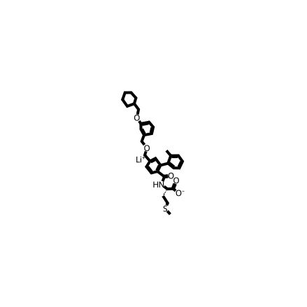 CSCC[C@H](NC(=O)c1ccc(COCc2cccc(OCC3CCCCC3)c2)cc1-c1ccccc1C)C(=O)[O-].[Li+]